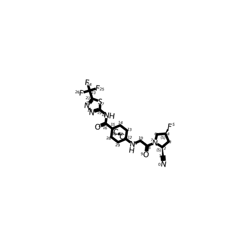 N#C[C@@H]1C[C@H](F)CN1C(=O)CNC12CCC(C(=O)Nc3nnc(C(F)(F)F)s3)(CC1)CC2